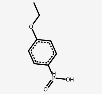 CCOc1ccc([PH](=O)O)cc1